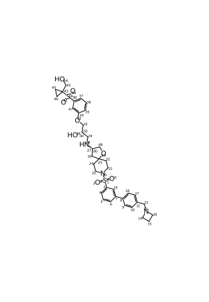 O=S(=O)(c1cccc(-c2ccc(CN3CCC3)cc2)c1)N1CCC2(CC1)C[C@@H](NC[C@H](O)COc1cccc(S(=O)(=O)C3(CO)CC3)c1)CO2